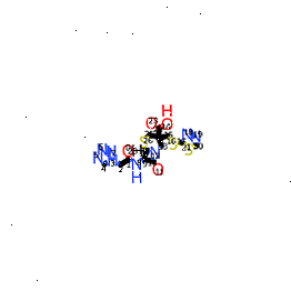 O=C(Cn1cnnn1)NC1C(=O)N2CC(CSc3nncs3)(C(=O)O)CS[C@H]12